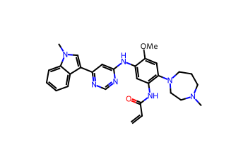 C=CC(=O)Nc1cc(Nc2cc(-c3cn(C)c4ccccc34)ncn2)c(OC)cc1N1CCCN(C)CC1